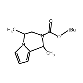 CC1c2cccn2C(C)CN1C(=O)OC(C)(C)C